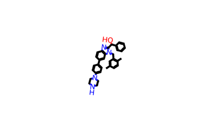 Cc1ccc(C)c(Cn2c(C(O)c3ccccc3)nc3ccc(-c4ccc(N5CCNCC5)cc4)cc32)c1